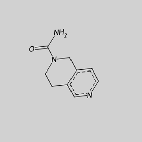 NC(=O)N1CCc2cnccc2C1